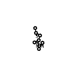 c1ccc(-c2ccc3sc4c(-c5ccc6c(c5)c5ccccc5n6-c5nc6ccccc6c6nc7ccccc7n56)cccc4c3c2)cc1